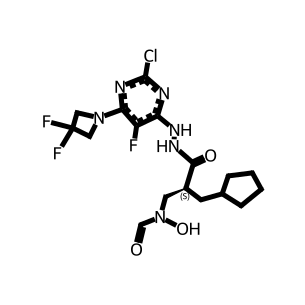 O=CN(O)C[C@H](CC1CCCC1)C(=O)NNc1nc(Cl)nc(N2CC(F)(F)C2)c1F